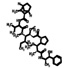 CC[C@H](C)[C@@H]([C@@H](CC(=O)N1CCCC1[C@H](OC)[C@@H](C)C(=O)N[C@H](C)[C@@H](O)c1ccccc1)OC)N(C)C(=O)C(NC(=O)[C@@H]1[C@H]2CC[C@H](C2)N1C)C(C)C